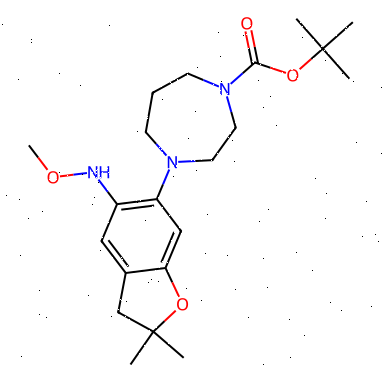 CONc1cc2c(cc1N1CCCN(C(=O)OC(C)(C)C)CC1)OC(C)(C)C2